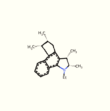 CCN1c2c(c3c(c4ccccc24)[C@H](C)[C@H](C)C3)[C@H](C)[C@@H]1C